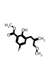 C=C(COC)Cc1cc(F)cc(C(=O)OC)c1O